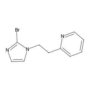 Brc1nccn1CCc1ccccn1